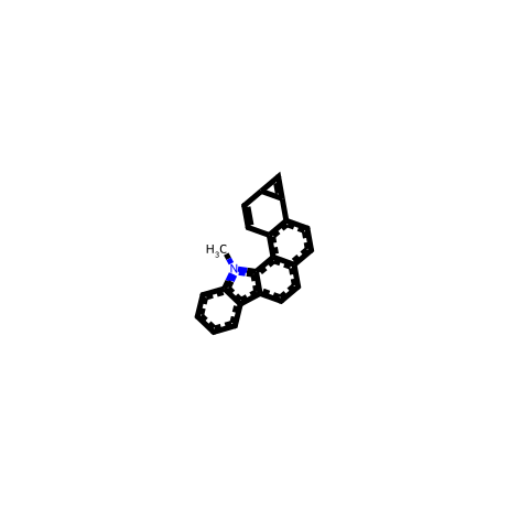 Cn1c2ccccc2c2ccc3ccc4c(c3c21)C=CC1C=C41